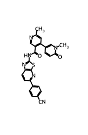 Cc1cc(-c2ccc(=O)n(C)c2)c(C(=O)Nc2nc3ccc(-c4ccc(C#N)cc4)nc3s2)cn1